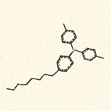 CCCCCCCCc1ccc([S+](c2ccc(C)cc2)c2ccc(C)cc2)cc1